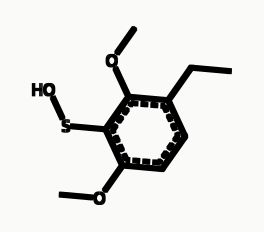 CCc1ccc(OC)c(SO)c1OC